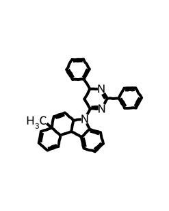 CC12C=CC=CC1C1c3ccccc3N(C3=NC(c4ccccc4)=NC(c4ccccc4)C3)C1C=C2